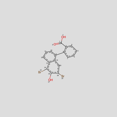 O=C(O)c1ccccc1-c1cccc2c(Br)c(O)c(Br)cc12